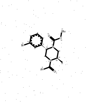 CC(C)C(=O)N1C[C@H](c2cccc(Br)c2)N(C(=O)OC(C)(C)C)C[C@H]1C